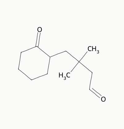 CC(C)(CC=O)CC1CCCCC1=O